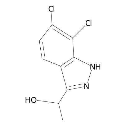 CC(O)c1n[nH]c2c(Cl)c(Cl)ccc12